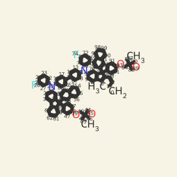 C=C/C=C\C1=C(C)c2ccc(N(c3ccc(-c4ccc(N(c5cccc(F)c5)c5ccc6c(c5)C(c5ccc(OCC7(CC)COC7)cc5)(c5ccc7ccccc7c5)c5ccccc5-6)cc4)cc3)c3cccc(F)c3)cc2C1(c1ccc(OCC2(CC)COC2)cc1)c1ccc2ccccc2c1